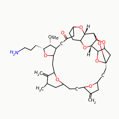 C=C1CC2CC[C@@]34CC5OC6C(O3)[C@H]3OC(CCC3O[C@H]6C5O4)CC(=O)CC3C(CC4OC(CCC1O2)CC(C)C4=C)O[C@H](CCCN)[C@@H]3OC